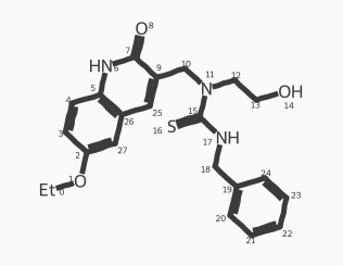 CCOc1ccc2[nH]c(=O)c(CN(CCO)C(=S)NCc3ccccc3)cc2c1